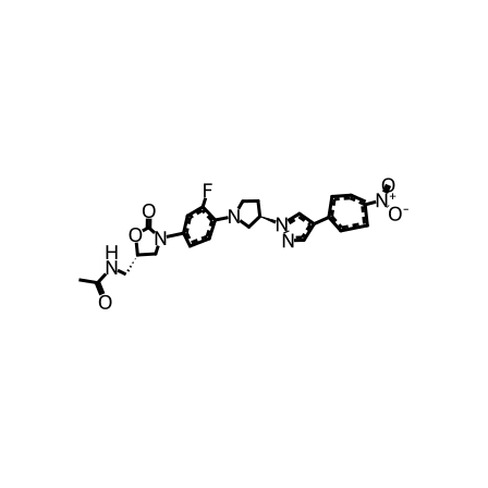 CC(=O)NC[C@H]1CN(c2ccc(N3CC[C@@H](n4cc(-c5ccc([N+](=O)[O-])cc5)cn4)C3)c(F)c2)C(=O)O1